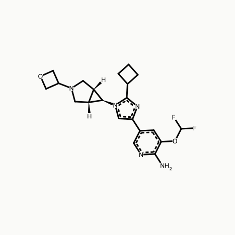 Nc1ncc(-c2cn([C@H]3[C@@H]4CN(C5COC5)C[C@@H]43)c(C3CCC3)n2)cc1OC(F)F